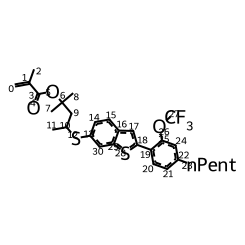 C=C(C)C(=O)OC(C)(C)CC(C)Sc1ccc2cc(-c3ccc(CCCCC)cc3OC(F)(F)F)sc2c1